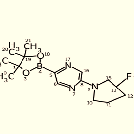 CC1(C)OB(c2cnc(N3CCCC(F)C3)cn2)OC1(C)C